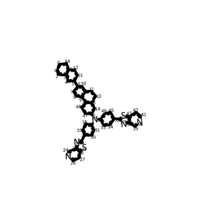 c1ccc2cc(-c3ccc4c(ccc5cc(N(c6ccc(-c7nc8cnccc8s7)cc6)c6ccc(-c7nc8cnccc8s7)cc6)ccc54)c3)ccc2c1